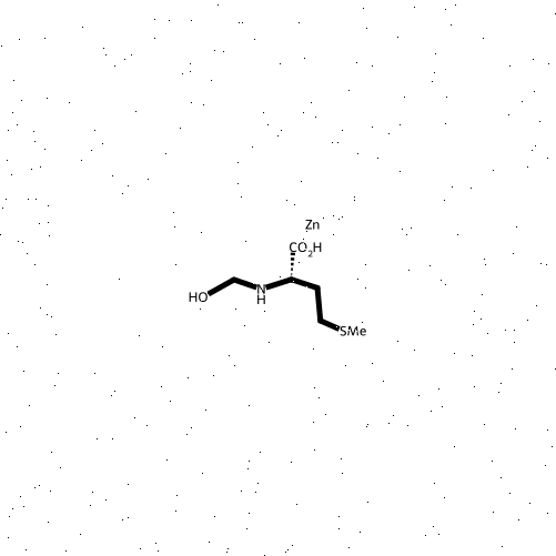 CSCC[C@H](NCO)C(=O)O.[Zn]